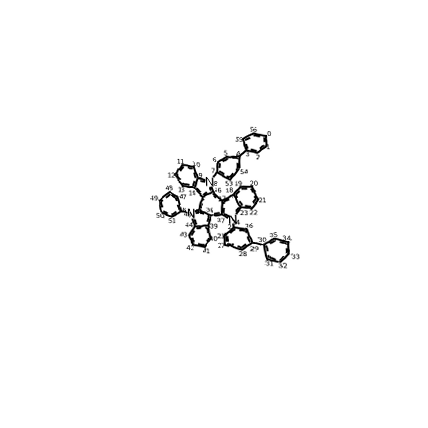 c1ccc(-c2ccc(-n3c4ccccc4c4c3c3c5ccccc5n(-c5cccc(-c6ccccc6)c5)c3c3c5ccccc5n(-c5ccccc5)c43)cc2)cc1